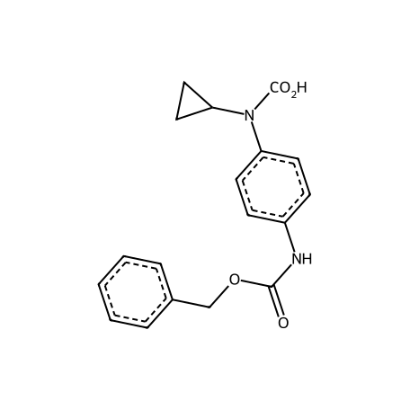 O=C(Nc1ccc(N(C(=O)O)C2CC2)cc1)OCc1ccccc1